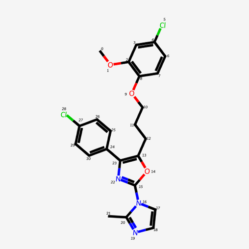 COc1cc(Cl)ccc1OCCCc1oc(-n2ccnc2C)nc1-c1ccc(Cl)cc1